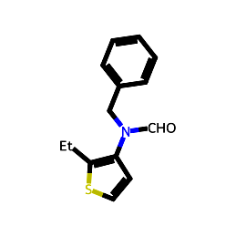 CCc1sccc1N(C=O)Cc1ccccc1